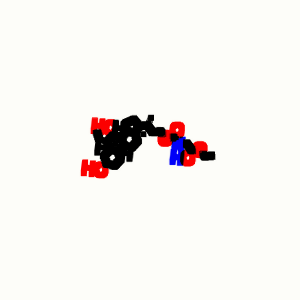 CCOC(=O)CNC(=O)OCC[C@@H](C)C1CC[C@H]2C3[C@H](O)[C@H](CC)[C@@H]4C[C@H](O)CC[C@]4(C)[C@H]3CC[C@]12C